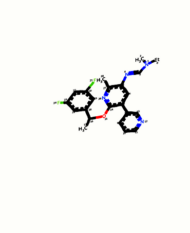 CCN(C)/C=N/c1cc(-c2cccnc2)c(OC(C)c2cc(F)cc(F)c2)nc1C